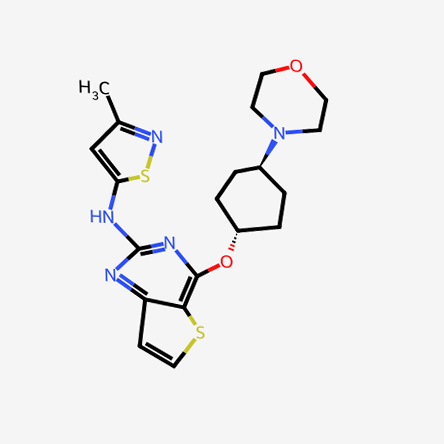 Cc1cc(Nc2nc(O[C@H]3CC[C@H](N4CCOCC4)CC3)c3sccc3n2)sn1